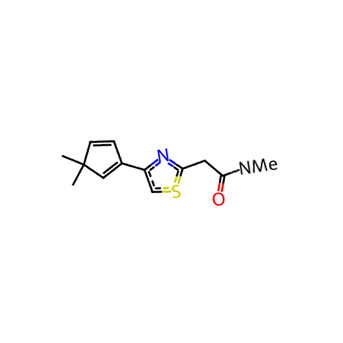 CNC(=O)Cc1nc(C2=CC(C)(C)C=C2)cs1